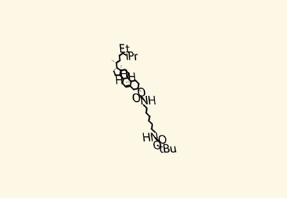 CC[C@H](CC[C@@H](C)[C@H]1CC[C@H]2[C@@H]3CC=C4C[C@@H](OC(=O)NCCCCCCCCNC(=O)OC(C)(C)C)CC[C@]4(C)[C@H]3CC[C@]12C)C(C)C